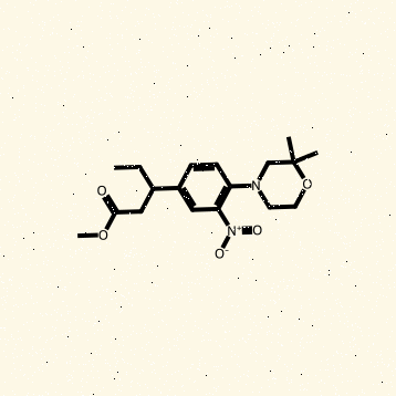 CCC(CC(=O)OC)c1ccc(N2CCOC(C)(C)C2)c([N+](=O)[O-])c1